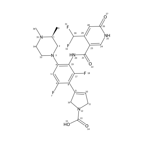 C[C@H]1CN(c2cc(F)c(C3=CCN(C(=O)O)C3)c(F)c2NC(=O)c2c[nH]c(=O)cc2C(F)F)CCN1C